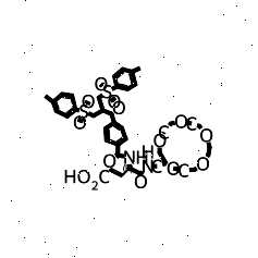 Cc1ccc(S(=O)(=O)CC(CS(=O)(=O)c2ccc(C)cc2)C(=O)c2ccc(C(=O)N[C@H](CCC(=O)O)C(=O)NCC3COCCOCCOCCOCCO3)cc2)cc1